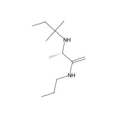 C=C(NCCC)[C@H](C)NC(C)(C)CC